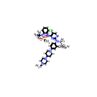 CS(=O)(=O)O.[2H]C([2H])([2H])N(c1ccccc1Nc1nc(Nc2ccc(N3CCC(N4CCN(C)CC4)CC3)cc2OC)ncc1Cl)S(C)(=O)=O